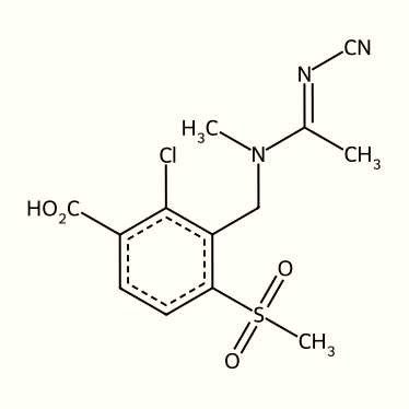 C/C(=N\C#N)N(C)Cc1c(S(C)(=O)=O)ccc(C(=O)O)c1Cl